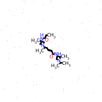 C=CC(=O)NC1(C)CN(C(C)C/C=C/C(=O)NC2CN(C(C)C)C2C)C1